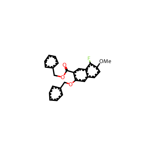 COc1ccc2cc(OCc3ccccc3)c(C(=O)OCc3ccccc3)cc2c1F